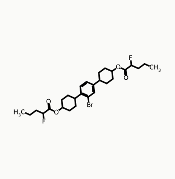 CCCC(F)C(=O)OC1CCC(c2ccc(C3CCC(OC(=O)C(F)CCC)CC3)c(Br)c2)CC1